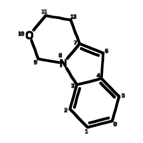 c1ccc2c(c1)cc1n2COCC1